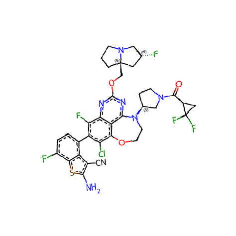 N#Cc1c(N)sc2c(F)ccc(-c3c(Cl)c4c5c(nc(OC[C@@]67CCCN6C[C@H](F)C7)nc5c3F)N([C@H]3CCN(C(=O)C5CC5(F)F)C3)CCO4)c12